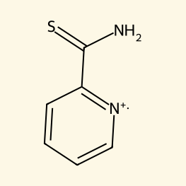 NC(=S)C1=[N+]C=CC=C1